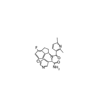 Cc1ccc(C(=O)N([C@@H]2CCc3c(F)cc(Cl)cc32)[C@@H](C(N)=O)c2cccnc2)c(C)n1